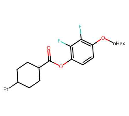 CCCCCCOc1ccc(OC(=O)C2CCC(CC)CC2)c(F)c1F